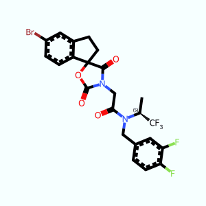 C[C@H](N(Cc1ccc(F)c(F)c1)C(=O)CN1C(=O)OC2(CCc3cc(Br)ccc32)C1=O)C(F)(F)F